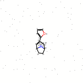 CN1C2C=C(c3ccco3)CC1CC2